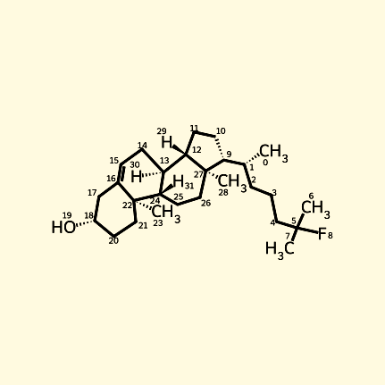 C[C@H](CCCC(C)(C)F)[C@H]1CC[C@H]2[C@@H]3CC=C4C[C@@H](O)CC[C@]4(C)[C@H]3CC[C@]12C